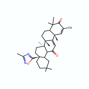 Cc1noc([C@]23CCC(C)(C)CC2C2C(=O)C=C4[C@@]5(C)C=C(C#N)C(=O)C(C)(C)C5CC[C@@]4(C)[C@]2(C)CC3)n1